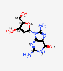 Nc1nc2c(nc(N)n2[C@H]2CC(O)[C@@H](CO)O2)c(=O)[nH]1